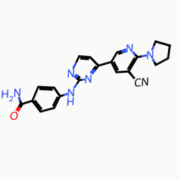 N#Cc1cc(-c2ccnc(Nc3ccc(C(N)=O)cc3)n2)cnc1N1CCCC1